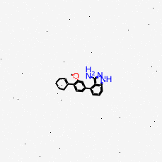 COc1cc(-c2cccc3[nH]nc(N)c23)ccc1C1=CCCCC1